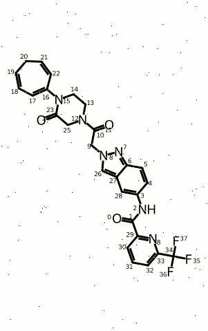 O=C(Nc1ccc2nn(CC(=O)N3CCN(C4=CC=CCC=C4)C(=O)C3)cc2c1)c1cccc(C(F)(F)F)n1